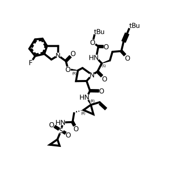 C=C[C@]1(NC(=O)C2C[C@@H](OC(=O)N3Cc4cccc(F)c4C3)CN2C(=O)[C@H](CCC(=O)C#CC(C)(C)C)NC(=O)OC(C)(C)C)C[C@@H]1CC(=O)NS(=O)(=O)C1CC1